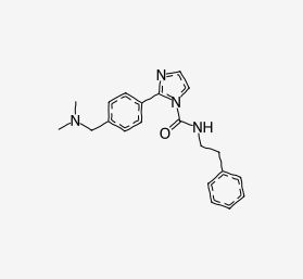 CN(C)Cc1ccc(-c2nccn2C(=O)NCCc2ccccc2)cc1